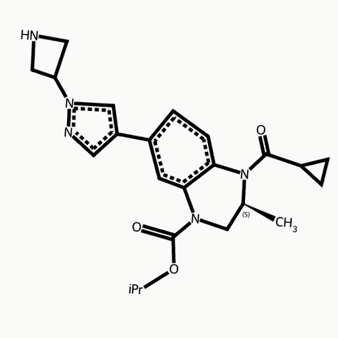 CC(C)OC(=O)N1C[C@H](C)N(C(=O)C2CC2)c2ccc(-c3cnn(C4CNC4)c3)cc21